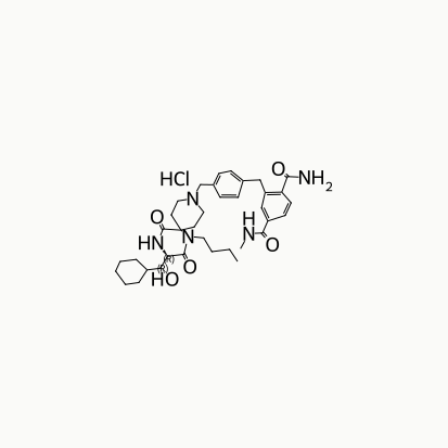 CCCCN1C(=O)[C@@H]([C@H](O)C2CCCCC2)NC(=O)C12CCN(Cc1ccc(Cc3cc(C(=O)NC)ccc3C(N)=O)cc1)CC2.Cl